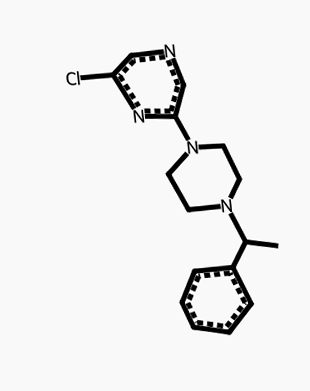 CC(c1ccccc1)N1CCN(c2cncc(Cl)n2)CC1